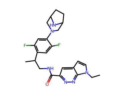 CCn1ccc2cc(C(=O)NCC(C)c3cc(F)c(N4CC5CCC(C4)N5)cc3F)nnc21